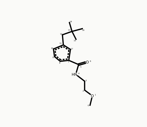 COCCNC(=O)c1cccc(CC(C)(C)C)c1